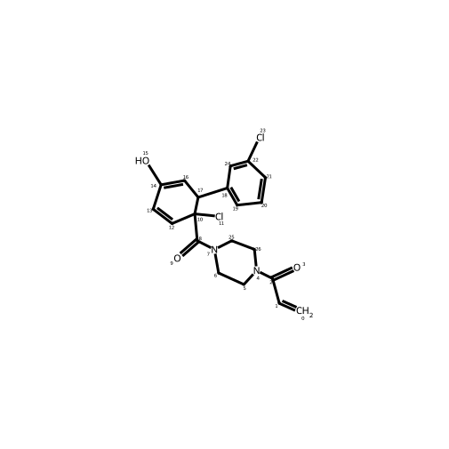 C=CC(=O)N1CCN(C(=O)C2(Cl)C=CC(O)=CC2c2cccc(Cl)c2)CC1